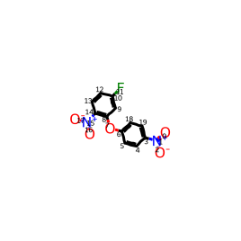 O=[N+]([O-])c1ccc(Oc2cc(F)ccc2[N+](=O)[O-])cc1